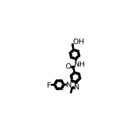 Cc1nc2ccc(C(=O)Nc3ccc(CO)cc3)cc2n1-c1ccc(F)cc1